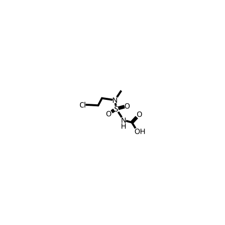 CN(CCCl)S(=O)(=O)NC(=O)O